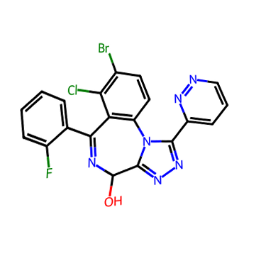 OC1N=C(c2ccccc2F)c2c(ccc(Br)c2Cl)-n2c(-c3cccnn3)nnc21